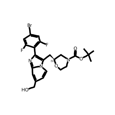 CC(C)(C)OC(=O)N1CCO[C@@H](Cc2c(-c3c(F)cc(Br)cc3F)nc3cc(CO)ccn23)C1